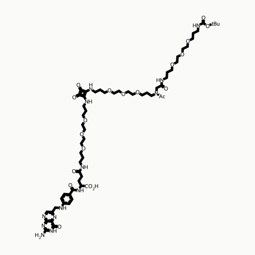 CC(=O)N(CCCOCCOCCOCCCNc1c(NCCCOCCOCCOCCCNC(=O)CCC(NC(=O)c2ccc(NCc3cnc4nc(N)[nH]c(=O)c4n3)cc2)C(=O)O)c(=O)c1=O)CC(=O)NCCCOCCOCCOCCCNC(=O)OC(C)(C)C